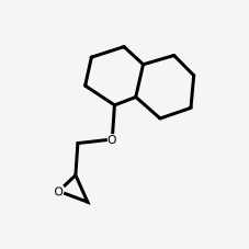 C1CCC2C(C1)CCCC2OCC1CO1